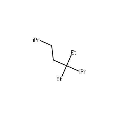 CCC(CC)(CCC(C)C)C(C)C